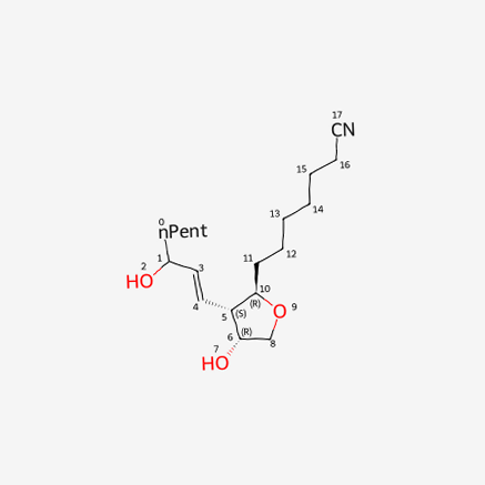 CCCCCC(O)C=C[C@H]1[C@@H](O)CO[C@@H]1CCCCCCC#N